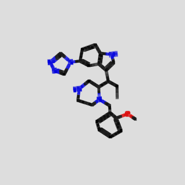 CCC(c1c[nH]c2ccc(-n3cnnc3)cc12)C1CNCCN1Cc1ccccc1OC